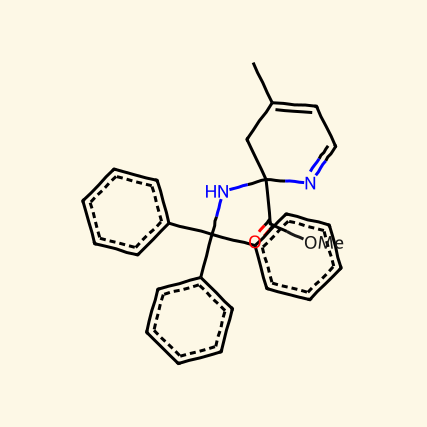 COC(=O)C1(NC(c2ccccc2)(c2ccccc2)c2ccccc2)CC(C)=CC=N1